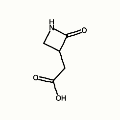 O=C(O)CC1CNC1=O